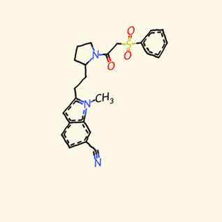 Cn1c(CCC2CCCN2C(=O)CS(=O)(=O)c2ccccc2)cc2ccc(C#N)cc21